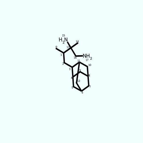 CC(CC1C2CC3CC(C2)CC1C3)C(C)(N)CN